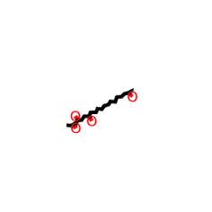 CC1OC1C(=O)CCC(=O)CCCCCCCCCCCC1CO1